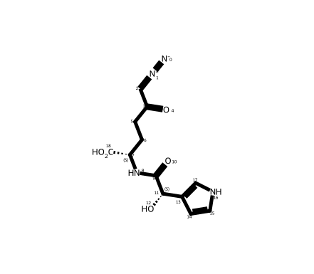 [N-]=[N+]=CC(=O)CC[C@H](NC(=O)[C@@H](O)c1cc[nH]c1)C(=O)O